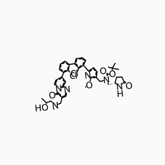 COc1nc(-c2cccc(-c3cccc(-c4ccn5c(=O)c(CN(C)CC(C)O)cnc5c4)c3Cl)c2Cl)ccc1CN(C[C@@H]1CCC(=O)N1)C(=O)OC(C)(C)C